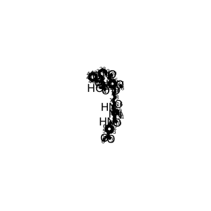 COC(=O)c1ccc(NC(=O)c2nc(NC(=O)CCCOc3cc4c(cc3OC)C(=O)N3CCCC[C@H]3C(OC3CCCCO3)N4C(=O)O)cn2C)cc1